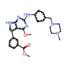 COC(=O)c1cccc(-c2c[nH]c3nc(Nc4ccc(CN5CCN(C)CC5)cc4)nc(OC)c23)c1